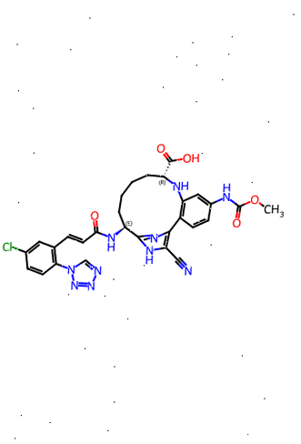 COC(=O)Nc1ccc2c(c1)N[C@@H](C(=O)O)CCCC[C@H](NC(=O)C=Cc1cc(Cl)ccc1-n1cnnn1)c1nc-2c(C#N)[nH]1